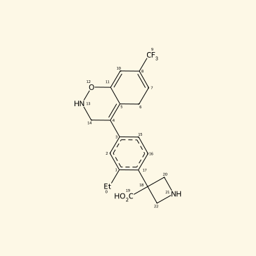 CCc1cc(C2=C3CC=C(C(F)(F)F)C=C3ONC2)ccc1C1(C(=O)O)CNC1